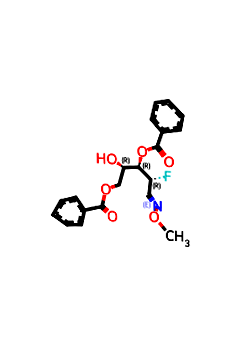 CO/N=C/[C@@H](F)[C@H](OC(=O)c1ccccc1)[C@H](O)COC(=O)c1ccccc1